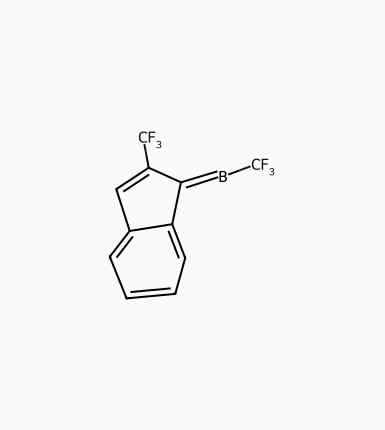 FC(F)(F)B=C1C(C(F)(F)F)=Cc2ccccc21